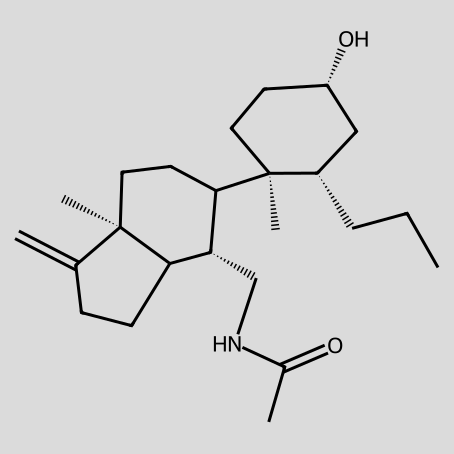 C=C1CCC2[C@@H](CNC(C)=O)C([C@@]3(C)CC[C@H](O)C[C@@H]3CCC)CC[C@]12C